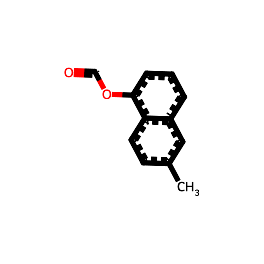 Cc1ccc2c(O[C]=O)cccc2c1